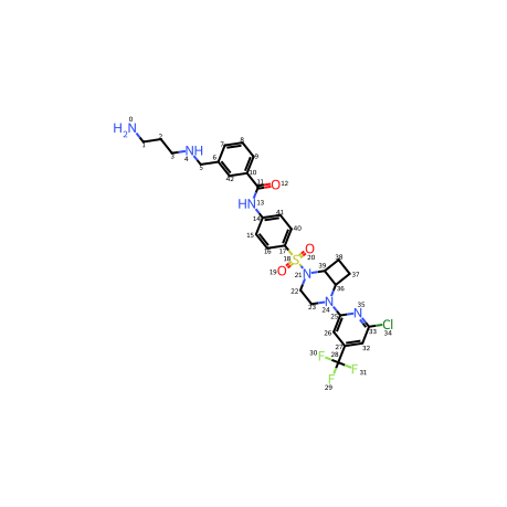 NCCCNCc1cccc(C(=O)Nc2ccc(S(=O)(=O)N3CCN(c4cc(C(F)(F)F)cc(Cl)n4)C4CCC43)cc2)c1